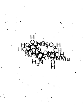 CN[C@@H]1[C@@H](O)[C@@H](O[C@@H]2[C@@H](O)[C@H](O[C@H]3O[C@H]([C@@H](C)O)[C@@H](O)[C@H](O)[C@H]3N)[C@@H](N)C[C@H]2N)OC[C@]1(C)O.O=S(=O)(O)O